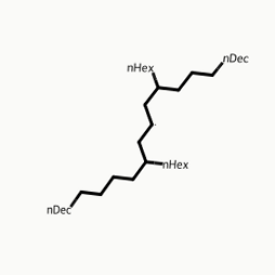 CCCCCCCCCCCCCCC(C[CH]CC(CCCCCC)CCCCCCCCCCCCC)CCCCCC